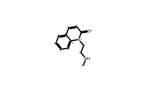 CNCCn1c(=O)ccc2ccccc21